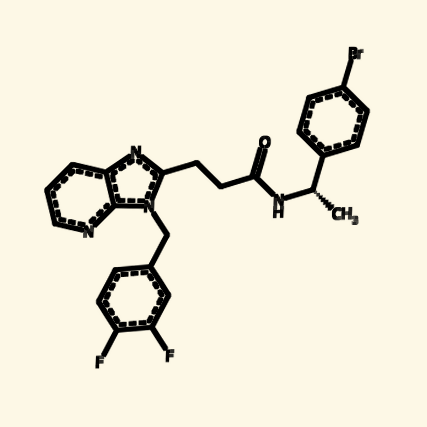 C[C@H](NC(=O)CCc1nc2cccnc2n1Cc1ccc(F)c(F)c1)c1ccc(Br)cc1